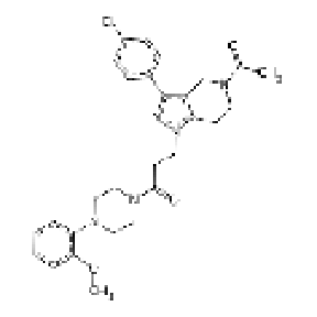 COc1ccccc1N1CCN(C(=O)CCn2nc(-c3ccc(Cl)cc3)c3c2CCN(C(C)=O)C3)CC1